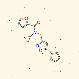 O=C(c1ccco1)N(Cc1cc(-c2cccs2)on1)C1CC1